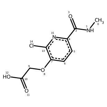 CNC(=O)c1ccc(OCC(=O)O)c(Cl)n1